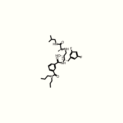 CCCN(CCC)C(=O)c1cccc(C(=O)N[C@@H](Cc2cc(F)cc(F)c2)[C@H](O)CN[C@@H](C)C(=O)NCC(C)C)c1